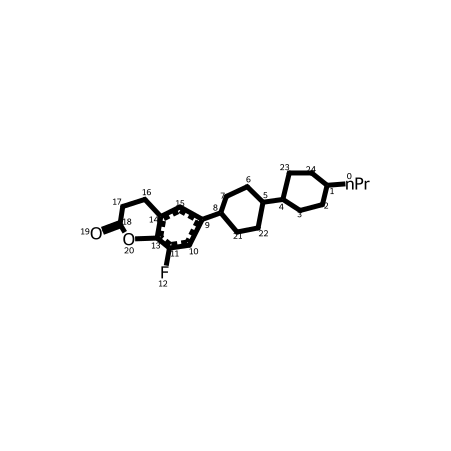 CCCC1CCC(C2CCC(c3cc(F)c4c(c3)CCC(=O)O4)CC2)CC1